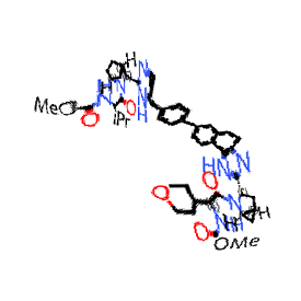 COC(=O)NC(C(=O)N1[C@@H]2CC[C@@H](C2)[C@H]1c1ncc(-c2ccc(-c3ccc4c(ccc5nc([C@@H]6C[C@H]7C[C@H]7N6C(=O)[C@@H](NC(=O)OC)C6CCOCC6)[nH]c54)c3)cc2)[nH]1)C(C)C